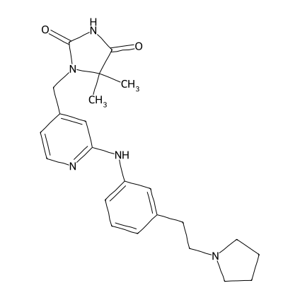 CC1(C)C(=O)NC(=O)N1Cc1ccnc(Nc2cccc(CCN3CCCC3)c2)c1